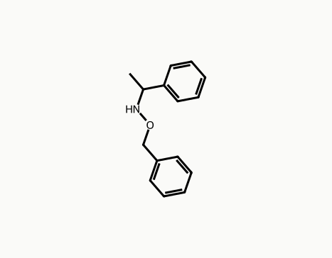 CC(NOCc1ccccc1)c1ccccc1